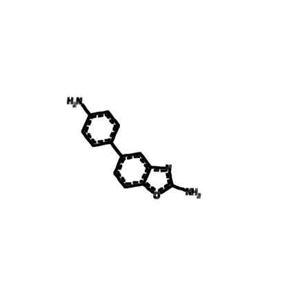 Nc1ccc(-c2ccc3oc(N)nc3c2)cc1